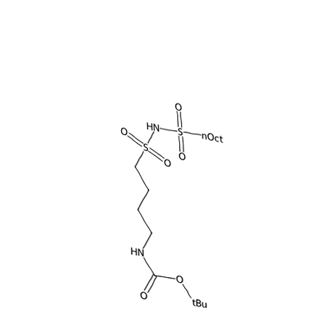 CCCCCCCCS(=O)(=O)NS(=O)(=O)CCCCNC(=O)OC(C)(C)C